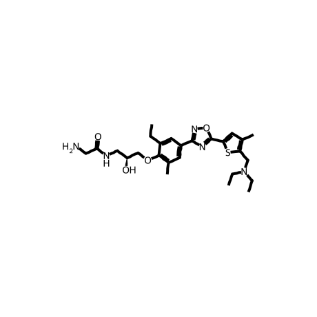 CCc1cc(-c2noc(-c3cc(C)c(CN(CC)CC)s3)n2)cc(C)c1OC[C@@H](O)CNC(=O)CN